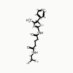 Cc1nc(NC(=O)CCCC(=O)NCC(F)F)sc1-c1ccncc1